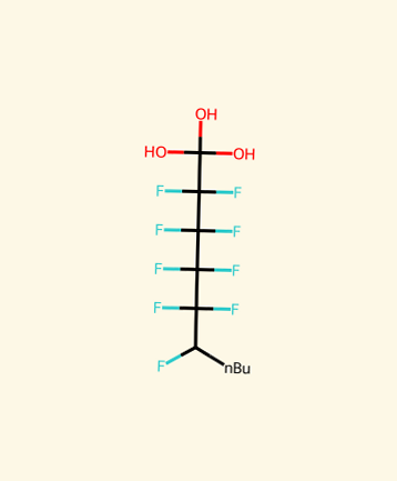 CCCCC(F)C(F)(F)C(F)(F)C(F)(F)C(F)(F)C(O)(O)O